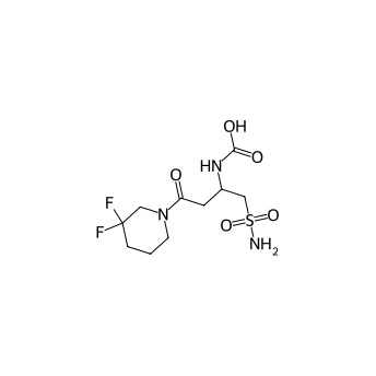 NS(=O)(=O)CC(CC(=O)N1CCCC(F)(F)C1)NC(=O)O